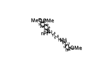 CCCN(CCCCCCNCCc1cccc(OC)c1)[C@H]1CCc2c(ccc(OC)c2OC)C1